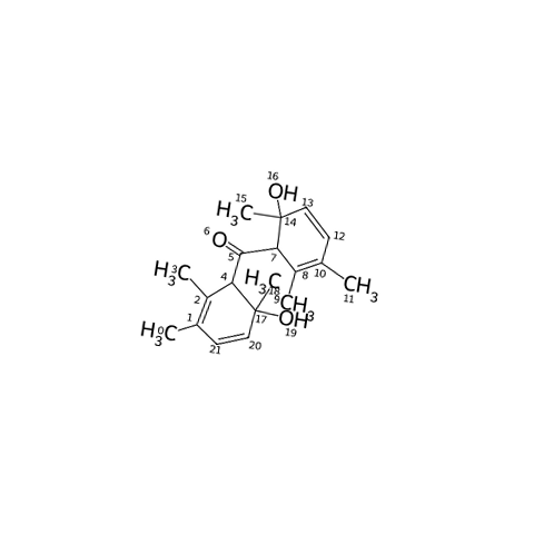 CC1=C(C)C(C(=O)C2C(C)=C(C)C=CC2(C)O)C(C)(O)C=C1